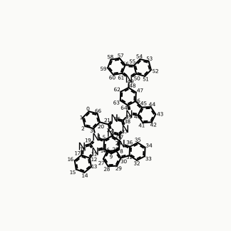 c1ccc(-n2c3ccccc3n3c4ccccc4nc23)c(-c2nc(-n3c4ccccc4c4ccccc43)nc(-n3c4ccccc4c4cc(-n5c6ccccc6c6ccccc65)ccc43)n2)c1